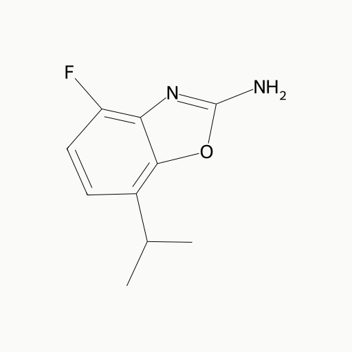 CC(C)c1ccc(F)c2nc(N)oc12